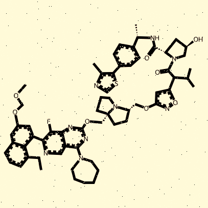 CCc1cccc2cc(OCOC)cc(-c3ncc4c(N5CCCCCC5)nc(OC[C@]56CCCN5[C@H](COc5cc(C(C(=O)N7C[C@H](O)C[C@H]7C(=O)N[C@@H](C)c7ccc(-c8scnc8C)cc7)C(C)C)on5)CC6)nc4c3F)c12